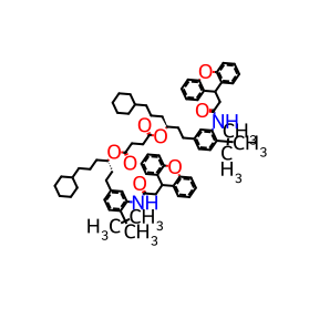 CC(C)(C)c1ccc(CC[C@H](CCCC2CCCCC2)OC(=O)CCC(=O)O[C@@H](CCCC2CCCCC2)CCc2ccc(C(C)(C)C)c(NC(=O)CC3c4ccccc4Oc4ccccc43)c2)cc1NC(=O)CC1c2ccccc2Oc2ccccc21